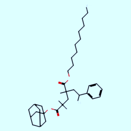 CCCCCCCCCCCCCCCCCCCCOC(=O)C(C)(CC(C)c1ccccc1)CC(C)(CC)C(=O)OC12CC3CC(CC(C3)C1)C2